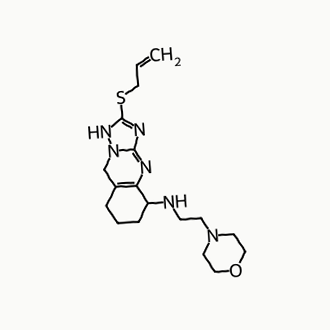 C=CCSC1=NC2=NC3=C(CCCC3NCCN3CCOCC3)CN2N1